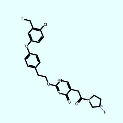 O=C(Cc1c[nH]c(OCCc2ccc(Oc3ccc(Cl)c(CF)c3)cc2)nc1=O)N1CC[C@H](F)C1